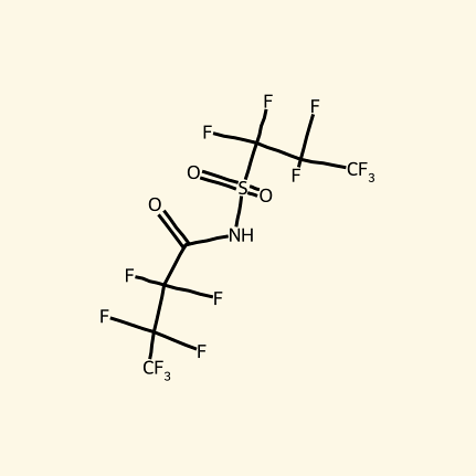 O=C(NS(=O)(=O)C(F)(F)C(F)(F)C(F)(F)F)C(F)(F)C(F)(F)C(F)(F)F